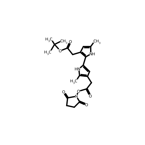 Cc1cc(CC(=O)OC(C)(C)C)c(-c2cc(CC(=O)ON3C(=O)CCC3=O)c(C)[nH]2)[nH]1